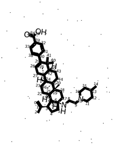 C=C(C)[C@@H]1CC[C@]2(NCCN3CCC(C)CC3)CC[C@]3(C)[C@H](CC[C@@H]4[C@@]5(C)CC=C(c6ccc(C(=O)O)cc6)C(C)(C)[C@@H]5CC[C@]43C)[C@@H]12